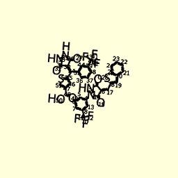 O=C1NN(c2cccc(C(F)(F)F)c2)C(=O)C1=Cc1cc2ccccc2s1.O=C1NNC(=O)C1=C(c1cccc(C(F)(F)F)c1)c1cc(C(=O)O)cs1